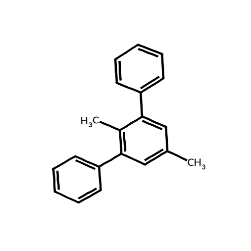 Cc1cc(-c2ccccc2)c(C)c(-c2ccccc2)c1